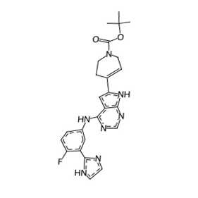 CC(C)(C)OC(=O)N1CC=C(c2cc3c(Nc4ccc(F)c(-c5ncc[nH]5)c4)ncnc3[nH]2)CC1